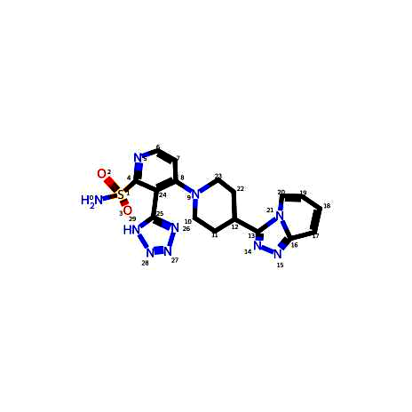 NS(=O)(=O)c1nccc(N2CCC(c3nnc4ccccn34)CC2)c1-c1nnn[nH]1